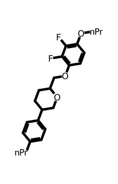 CCCOc1ccc(OCC2CCC(c3ccc(CCC)cc3)CO2)c(F)c1F